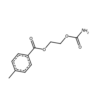 Cc1ccc(C(=O)OCCOC(N)=O)cc1